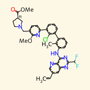 C=Cc1cnc2c(Nc3cccc(-c4cccc(-c5ccc(CN6CC[C@@H](C(=O)OC)C6)c(OC)n5)c4Cl)c3C)nc(C(F)F)nc2c1